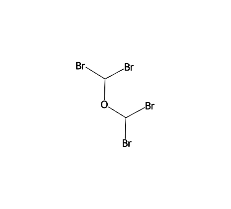 BrC(Br)OC(Br)Br